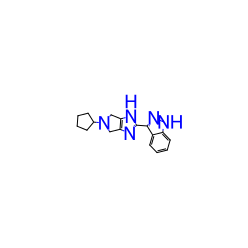 c1ccc2c(-c3nc4c([nH]3)CN(C3CCCC3)C4)n[nH]c2c1